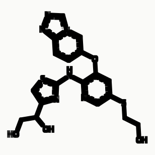 OCCSc1cnc(Nc2nc(C(O)CO)cs2)c(Oc2ccc3nncn3c2)c1